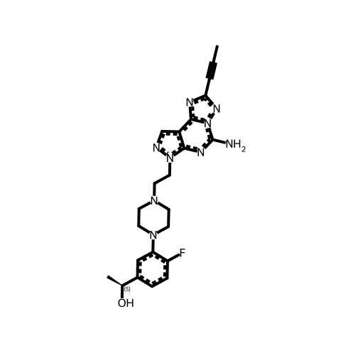 CC#Cc1nc2c3cnn(CCN4CCN(c5cc([C@H](C)O)ccc5F)CC4)c3nc(N)n2n1